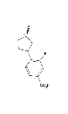 O=C(O)c1ccc(N2CC[C@@H](O)C2)c(F)c1